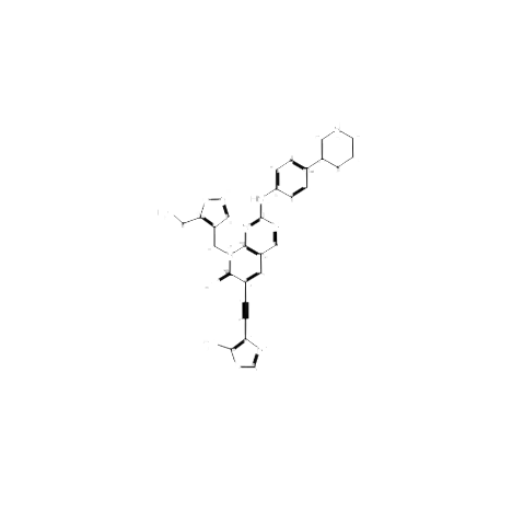 Cc1scnc1C#Cc1cc2cnc(Nc3ccc(C4CCCNC4)cc3)nc2n(Cc2cnoc2CC(F)(F)F)c1=O